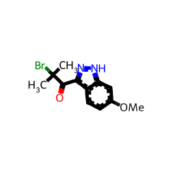 COc1ccc2c(C(=O)C(C)(C)Br)n[nH]c2c1